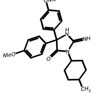 COc1ccc(C2(c3ccc(OC)cc3)NC(=N)N(C3CCC(C)CC3)C2=O)cc1